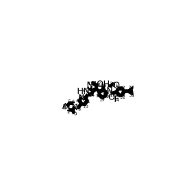 CC1CN(C)CCN1Cc1ccc(-c2cc3c(-c4cccc(N5CCOc6cc(C7CC7)cc(F)c6C5=O)c4CO)ccnc3[nH]2)nc1